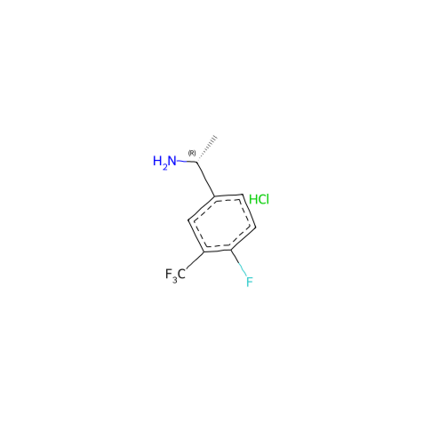 C[C@@H](N)c1ccc(F)c(C(F)(F)F)c1.Cl